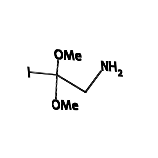 COC(I)(CN)OC